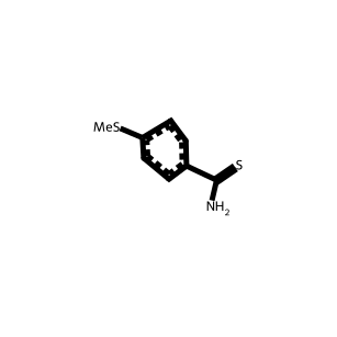 CSc1ccc(C(N)=S)cc1